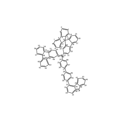 c1ccc2c(c1)-c1ccccc1C21c2ccccc2-c2ccc(N(c3ccc(-c4ccc(-c5cccc6sc7ccccc7c56)cc4)cc3)c3ccc4c5ccccc5c5ccccc5c4c3)cc21